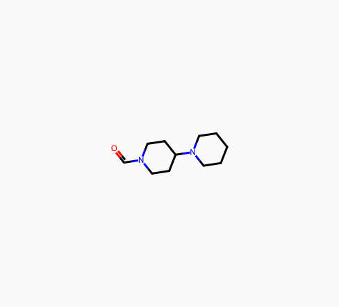 O=CN1CCC(N2CCCCC2)CC1